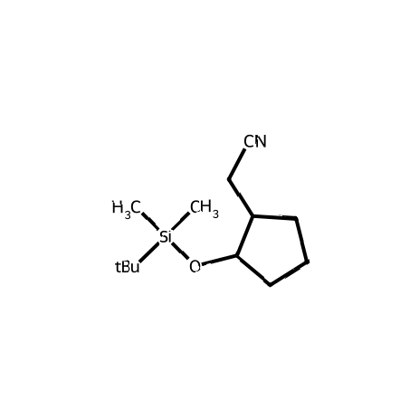 CC(C)(C)[Si](C)(C)OC1CCCC1CC#N